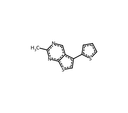 Cc1ncc2c(-c3cccs3)csc2n1